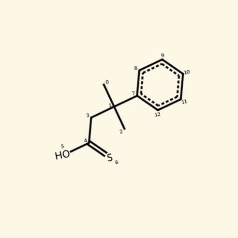 CC(C)(CC(O)=S)c1ccccc1